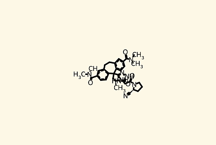 C[C@@H](CC1(c2n[nH]c(=O)[nH]2)c2ccc(C(=O)N(C)C)cc2CCc2cc(C(=O)N(C)C)ccc21)NCC(=O)N1CCC[C@H]1C#N